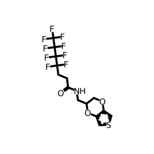 O=C(CCC(F)(F)C(F)(F)C(F)(F)C(F)(F)F)NCC1COc2cscc2O1